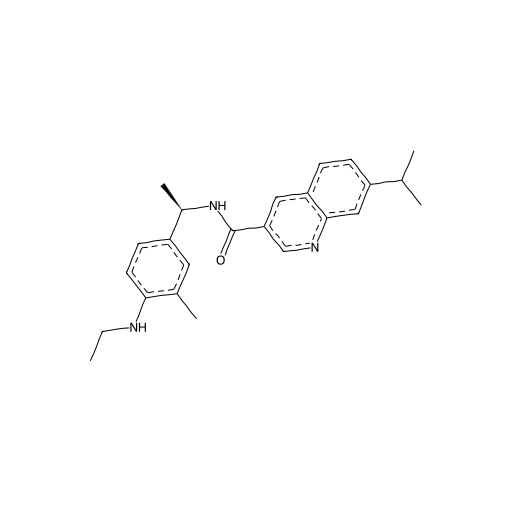 CCNc1ccc([C@@H](C)NC(=O)c2cnc3cc(C(C)C)ccc3c2)cc1C